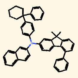 CC1(C)c2cc(N(c3ccc(C4(c5ccccc5)CCCCC4)cc3)c3ccc4ccccc4c3)ccc2-c2c(-c3ccccc3)cccc21